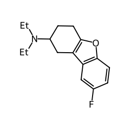 CCN(CC)C1CCc2oc3ccc(F)cc3c2C1